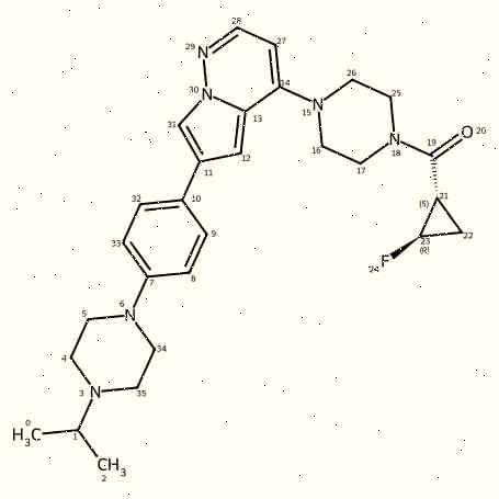 CC(C)N1CCN(c2ccc(-c3cc4c(N5CCN(C(=O)[C@@H]6C[C@H]6F)CC5)ccnn4c3)cc2)CC1